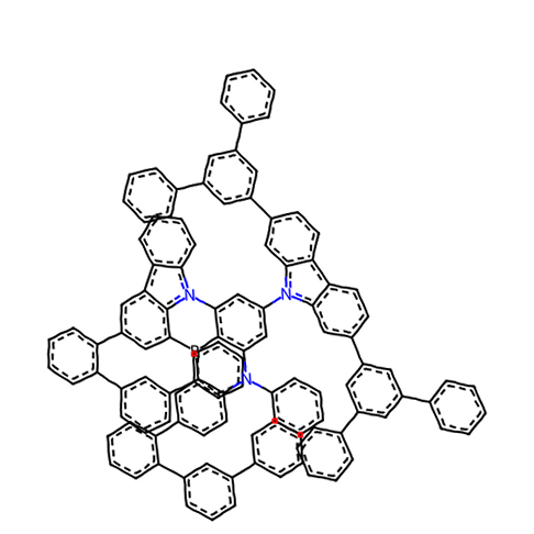 c1ccc(-c2cc(-c3ccccc3)cc(-c3ccc4c5ccc(-c6cc(-c7ccccc7)cc(-c7ccccc7)c6)cc5n(-c5cc6c7c(c5)-n5c8ccccc8c8cc(-c9ccccc9-c9cccc(-c%10ccccc%10)c9)cc(c85)B7c5cc(-c7ccccc7-c7cccc(-c8ccccc8)c7)ccc5N6c5ccccc5)c4c3)c2)cc1